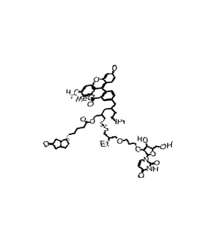 CCC(COCCCOC1C(O)C(CO)OC1n1ccc(=O)[nH]c1=O)CSSCC(COC(=O)CCCC[C@@H]1CCC2CC(=O)CC21)CC(CCC(C)C)Cc1ccc(-c2c3ccc(=O)cc-3oc3cc(C)ccc23)c(C(=O)OC)c1